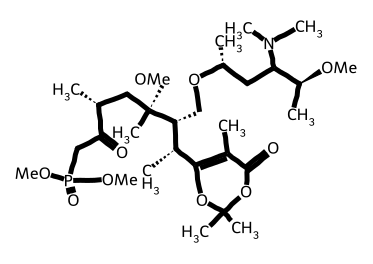 CO[C@@H](C)C(C[C@@H](C)OC[C@H]([C@@H](C)C1=C(C)C(=O)OC(C)(C)O1)[C@@](C)(C[C@@H](C)C(=O)CP(=O)(OC)OC)OC)N(C)C